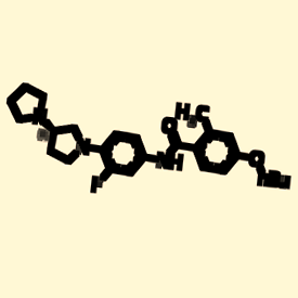 CCCCOc1ccc(C(=O)Nc2ccc(N3CC[C@@H](N4CCCC4)C3)c(F)c2)c(C)c1